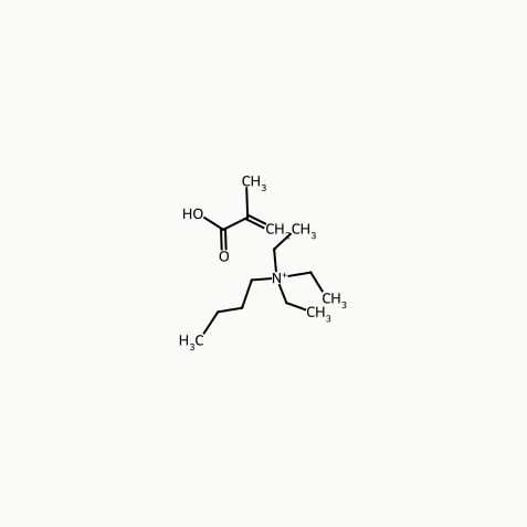 C=C(C)C(=O)O.CCCC[N+](CC)(CC)CC